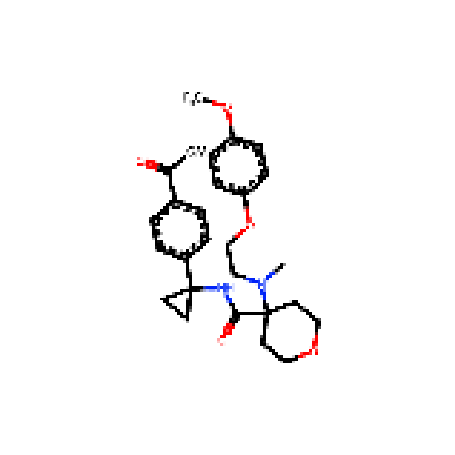 COC(=O)c1ccc(C2(NC(=O)C3(N(C)CCOc4ccc(OC(F)(F)F)cc4)CCOCC3)CC2)cc1